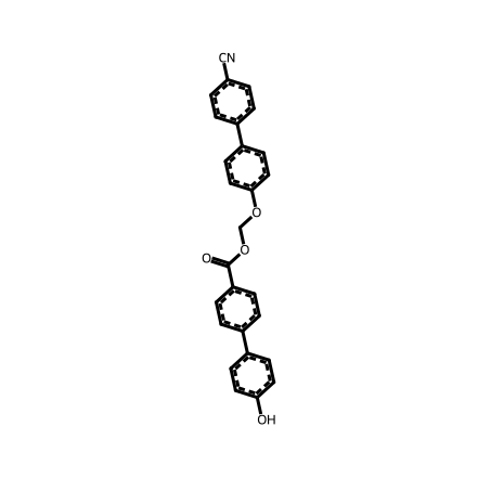 N#Cc1ccc(-c2ccc(OCOC(=O)c3ccc(-c4ccc(O)cc4)cc3)cc2)cc1